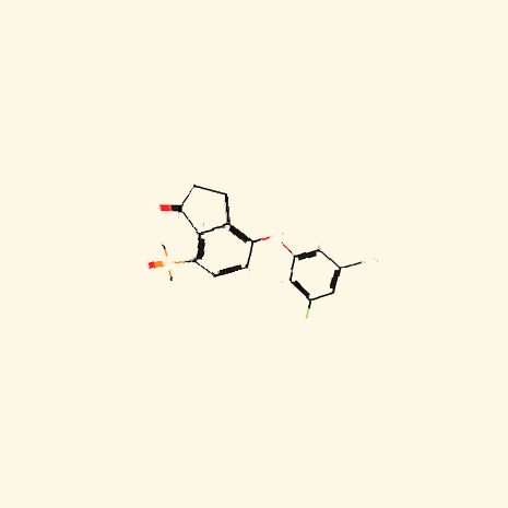 CP(C)(=O)c1ccc(Oc2cc(F)cc(C#N)c2)c2c1C(=O)CC2